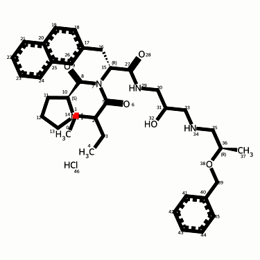 CCC(CC)C(=O)N(C(=O)[C@@H]1CCCN1)[C@H](Cc1ccc2ccccc2c1)C(=O)NCC(O)CNC[C@@H](C)OCc1ccccc1.Cl